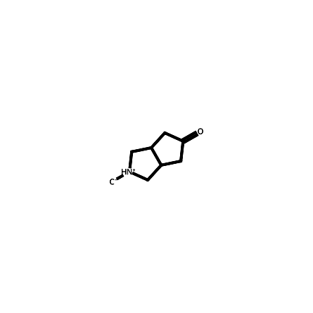 [CH2-][NH+]1CC2CC(=O)CC2C1